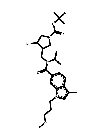 COCCCn1cc(C)c2ccc(C(=O)N(CC3CN(C(=O)OC(C)(C)C)CC3N)C(C)C)cc21